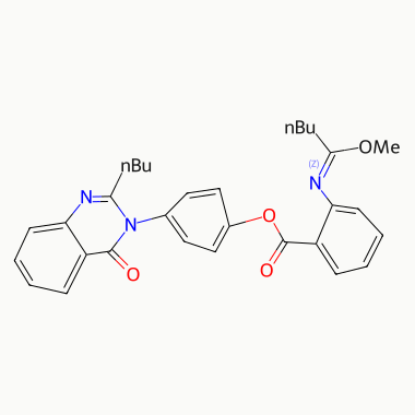 CCCC/C(=N/c1ccccc1C(=O)Oc1ccc(-n2c(CCCC)nc3ccccc3c2=O)cc1)OC